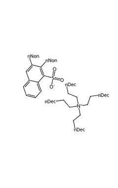 CCCCCCCCCCCC[N+](CCCCCCCCCCCC)(CCCCCCCCCCCC)CCCCCCCCCCCC.CCCCCCCCCc1cc2ccccc2c(S(=O)(=O)[O-])c1CCCCCCCCC